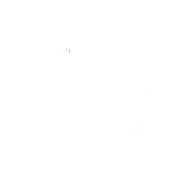 Cc1cc(C=CC(=O)O)on1